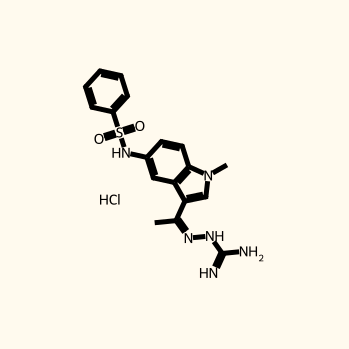 C/C(=N/NC(=N)N)c1cn(C)c2ccc(NS(=O)(=O)c3ccccc3)cc12.Cl